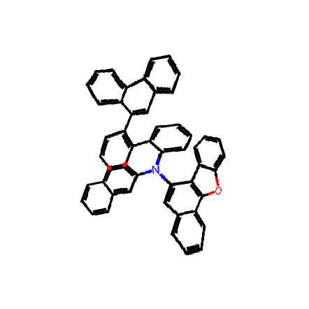 C1=C=c2ccccc2=CC=1N(c1ccccc1C1=C(c2cc3ccccc3c3ccccc23)C=CCC1)c1cc2ccccc2c2oc3ccccc3c12